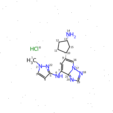 Cl.Cn1ccc(Nc2cc([C@@H]3CC[C@H](N)C3)cn3ncnc23)n1